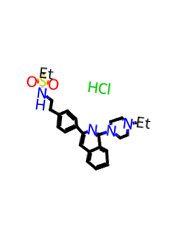 CCN1CCN(c2nc(-c3ccc(CCNS(=O)(=O)CC)cc3)cc3ccccc23)CC1.Cl